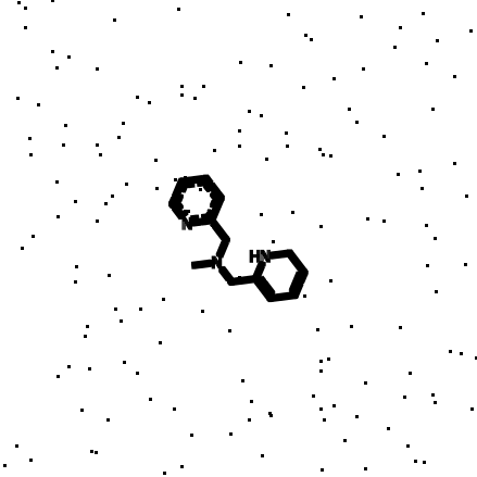 CN(CC1=CC=CCN1)Cc1ccccn1